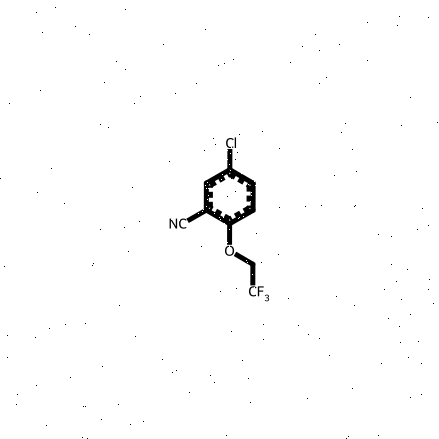 N#Cc1cc(Cl)ccc1OCC(F)(F)F